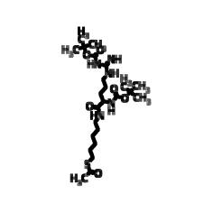 CC(=O)SCCCCCCNC(=O)C(CCCNC(=N)NC(=O)OC(C)(C)C)NC(=O)OC(C)(C)C